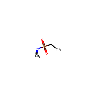 C=NS(=O)(=O)CC